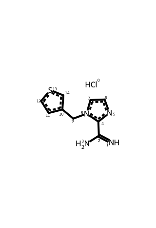 Cl.N=C(N)c1nccn1Cc1ccsc1